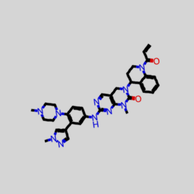 C=CC(=O)N1CCC(N2Cc3cnc(Nc4ccc(N5CCN(C)CC5)c(-c5cnn(C)c5)c4)nc3N(C)C2=O)c2ccccc21